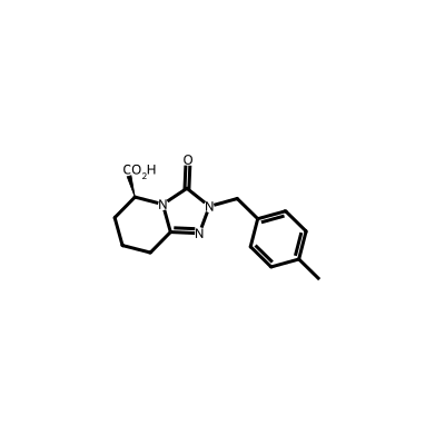 Cc1ccc(Cn2nc3n(c2=O)[C@H](C(=O)O)CCC3)cc1